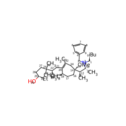 CC[C@H](C)CN(Cc1ccccc1)[C@H](C)[C@@H](C)[C@]1(OC)CC[C@@H](C)C(C[C@@H](C)C(C)(C)CC[C@H](O)CC)=C(C)C1